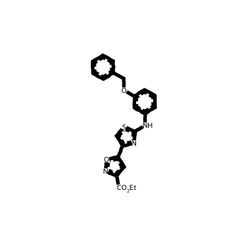 CCOC(=O)c1cc(-c2csc(Nc3cccc(OCc4ccccc4)c3)n2)on1